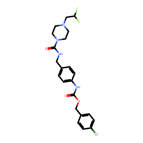 O=C(Nc1ccc(CNC(=O)N2CCN(CC(F)F)CC2)cc1)OCc1ccc(Cl)cc1